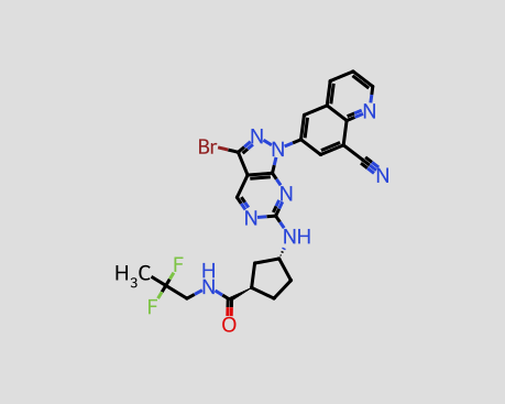 CC(F)(F)CNC(=O)[C@@H]1CC[C@@H](Nc2ncc3c(Br)nn(-c4cc(C#N)c5ncccc5c4)c3n2)C1